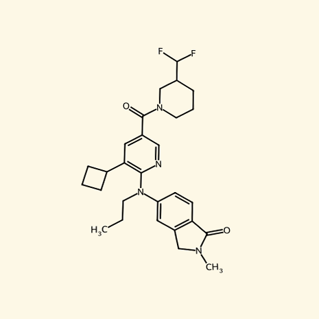 CCCN(c1ccc2c(c1)CN(C)C2=O)c1ncc(C(=O)N2CCCC(C(F)F)C2)cc1C1CCC1